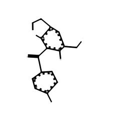 Cc1ccc(C(=S)c2c(O)c(CC(=O)O)cc3c2OCC3)cc1